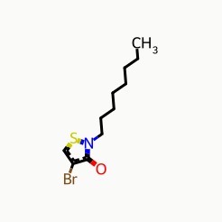 CCCCCCCCn1scc(Br)c1=O